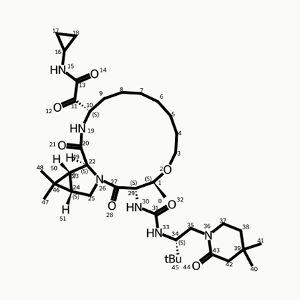 C[C@@H]1OCCCCCCC[C@@H](C(=O)C(=O)NC2CC2)NC(=O)[C@@H]2[C@@H]3[C@H](CN2C(=O)[C@H]1NC(=O)N[C@H](CN1CCC(C)(C)CC1=O)C(C)(C)C)C3(C)C